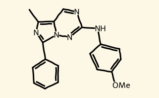 COc1ccc(Nc2ncc3c(C)nc(-c4ccccc4)n3n2)cc1